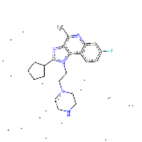 Fc1ccc2c(c1)nc(C(F)(F)F)c1nc(C3CCCC3)n(CCN3CCNCC3)c12